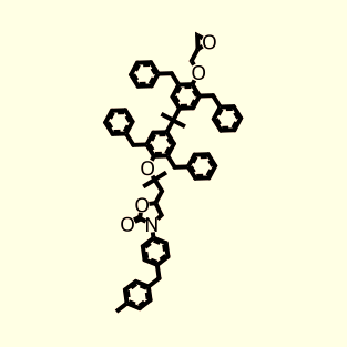 Cc1ccc(Cc2ccc(N3CC(CC(C)(C)Oc4c(Cc5ccccc5)cc(C(C)(C)c5cc(Cc6ccccc6)c(OCC6CO6)c(Cc6ccccc6)c5)cc4Cc4ccccc4)OC3=O)cc2)cc1